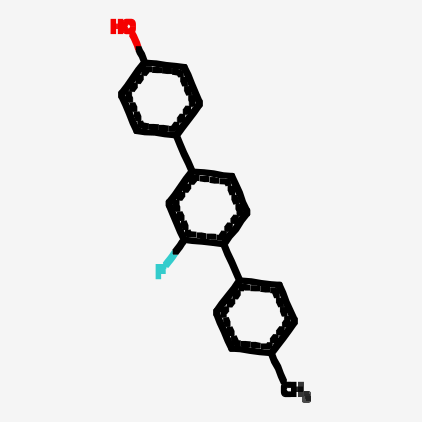 Cc1ccc(-c2ccc(-c3ccc(O)cc3)cc2F)cc1